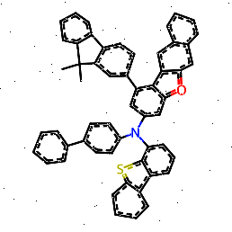 CC1(C)c2ccccc2-c2ccc(-c3cc(N(c4ccc(-c5ccccc5)cc4)c4cccc5c4sc4ccccc45)cc4oc5cc6ccccc6cc5c34)cc21